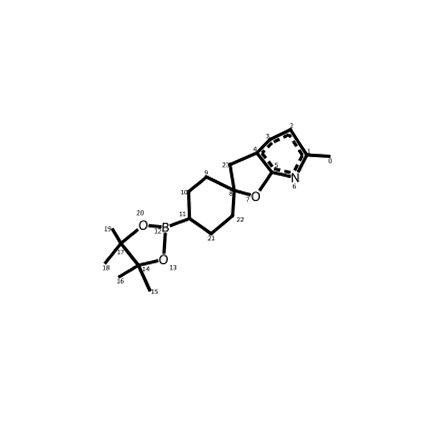 Cc1ccc2c(n1)OC1(CCC(B3OC(C)(C)C(C)(C)O3)CC1)C2